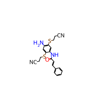 N#CCCSc1cc(NC(=O)/C=C/c2ccccc2)c(SCCC#N)cc1N